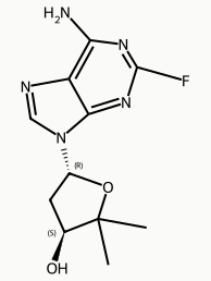 CC1(C)O[C@@H](n2cnc3c(N)nc(F)nc32)C[C@@H]1O